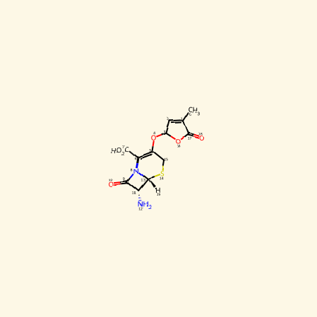 CC1=CC(OC2=C(C(=O)O)N3C(=O)[C@@H](N)[C@H]3SC2)OC1=O